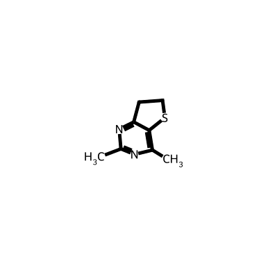 Cc1nc(C)c2c(n1)CCS2